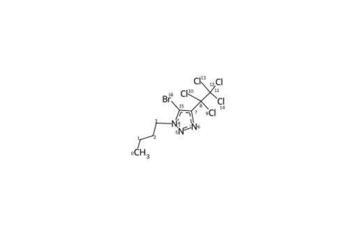 CCCCn1nnc(C(Cl)(Cl)C(Cl)(Cl)Cl)c1Br